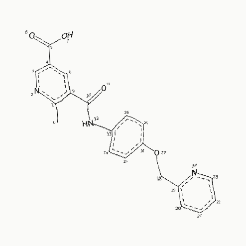 Cc1ncc(C(=O)O)cc1C(=O)Nc1ccc(OCc2ccccn2)cc1